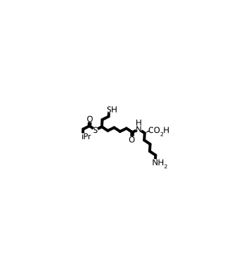 CC(C)CC(=O)SC(CCS)CCCCC(=O)N[C@@H](CCCCN)C(=O)O